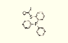 O=C(I)Sc1ccccc1P(c1ccccc1)c1ccccc1